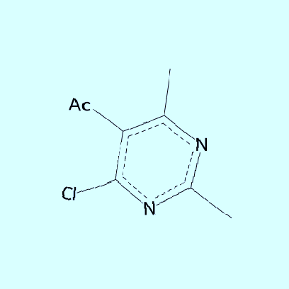 CC(=O)c1c(C)nc(C)nc1Cl